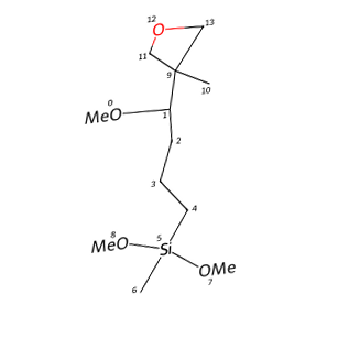 COC(CCC[Si](C)(OC)OC)C1(C)COC1